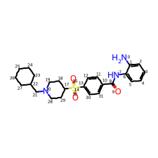 Nc1ccccc1NC(=O)c1ccc(S(=O)(=O)C2CCN(CC3CCCCC3)CC2)cc1